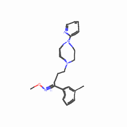 CO/N=C(\CCN1CCN(c2ccccn2)CC1)c1cccc(C)c1